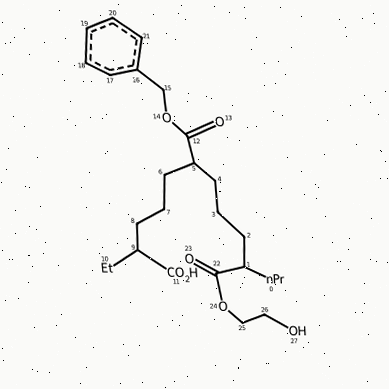 CCCC(CCCC(CCCC(CC)C(=O)O)C(=O)OCc1ccccc1)C(=O)OCCO